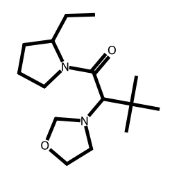 CCC1CCCN1C(=O)C(N1CCOC1)C(C)(C)C